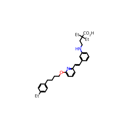 CCc1ccc(CCCCOc2cccc(C=Cc3cccc(NCCC(CC)(CC)C(=O)O)c3)n2)cc1